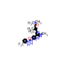 CN(C)C(=O)CC1CC(c2cc(-c3ccc(NC(=O)Nc4cccc(C(F)(F)F)c4)cc3)c3c(N)nn(C)c3n2)C1(C)C